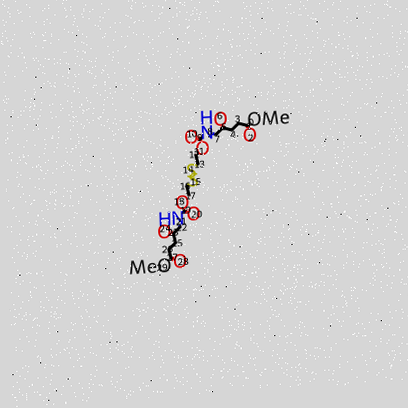 COC(=O)CCC(=O)CNC(=O)OCCSSCCOC(=O)NCC(=O)CCC(=O)OC